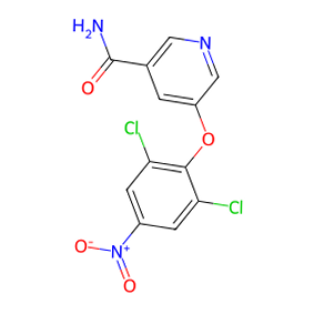 NC(=O)c1cncc(Oc2c(Cl)cc([N+](=O)[O-])cc2Cl)c1